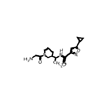 CC(NC(=O)c1cc(C2CC2)on1)C1CCCN(C(=O)CN)C1